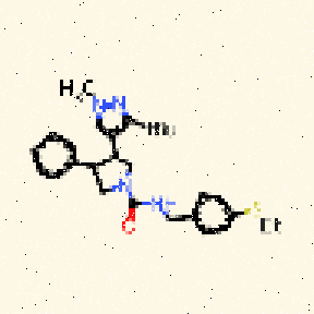 CCSc1ccc(CNC(=O)N2CC(c3ccccc3)C(c3cn(C)nc3C(C)(C)C)C2)cc1